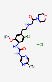 CC(C)Oc1cc(CCNCC(=O)N2CCOCC2)c(Cl)cc1NC(=O)Nc1cnc(C#N)cn1.Cl